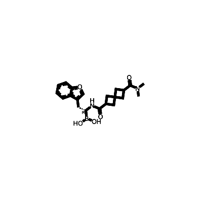 CN(C)C(=O)C1CC2(CC(C(=O)N[C@@H](Cc3coc4ccccc34)B(O)O)C2)C1